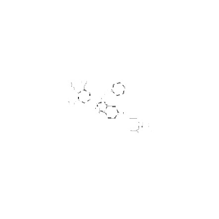 COc1cc(-c2nc3ccc(OCCN(C(C)C)C(C)C)cc3n2Cc2ccccc2)cc(OC)c1OC